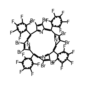 Fc1c(F)c(F)c(C2=C3N=C(C(Br)=C3Br)C(c3c(F)c(F)c(F)c(F)c3F)=C3N=C(C(Br)=C3Br)C(c3c(F)c(F)c(F)c(F)c3F)=C3N=C(C(Br)=C3Br)C(c3c(F)c(F)c(F)c(F)c3F)=C3N=C2C(Br)=C3Br)c(F)c1F